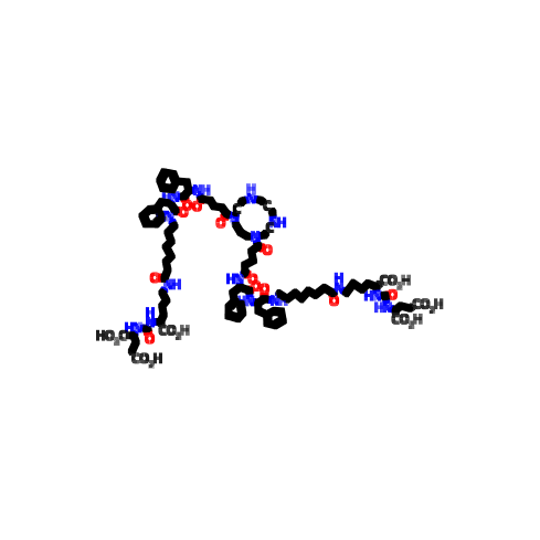 O=C(O)CCC(NC(=O)NC(CCCCNC(=O)CCCCCCCNC(=O)C(Cc1ccccc1)NC(=O)C(Cc1ccccc1)NC(=O)CCCC(=O)N1CCCN(C(=O)CCCC(=O)NC(Cc2ccccc2)C(=O)NC(Cc2ccccc2)C(=O)NCCCCCCCC(=O)NCCCCC(NC(=O)NC(CCC(=O)O)C(=O)O)C(=O)O)CCNCCCNCC1)C(=O)O)C(=O)O